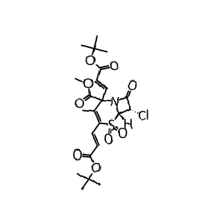 COC(=O)C1(C=CC(=O)OC(C)(C)C)C(C)=C(C=CC(=O)OC(C)(C)C)S(=O)(=O)[C@H]2[C@@H](Cl)C(=O)N21